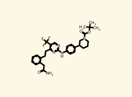 CC(C)(C)OC(=O)N1CCCC(c2ccc(Nc3ncc(C(F)(F)F)c(CCc4ccccc4CC(N)=O)n3)cc2)C1